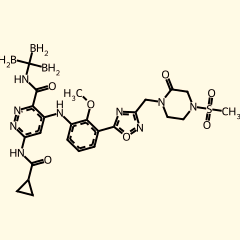 BC(B)(B)NC(=O)c1nnc(NC(=O)C2CC2)cc1Nc1cccc(-c2nc(CN3CCN(S(C)(=O)=O)CC3=O)no2)c1OC